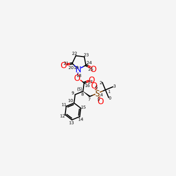 CC(C)(C)S(=O)(=O)C[C@@H](Cc1ccccc1)C(=O)ON1C(=O)CCC1=O